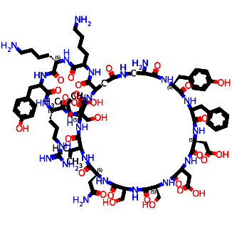 CC(C)C[C@@H]1NC(=O)C(C(C)C)NC(=O)[C@H](CC(N)=O)NC(=O)C(CO)NC(=O)[C@H](CO)NC(=O)C(CC(=O)O)NC(=O)[C@H](CC(=O)O)NC(=O)C(Cc2ccccc2)NC(=O)[C@H](Cc2ccc(O)cc2)NC(=O)C(N)CNC(=O)CC(C(=O)NC(CCCCN)C(=O)N[C@@H](CCCCN)C(=O)NC(Cc2ccc(O)cc2)C(=O)N[C@@H](CCCNC(=N)N)C(=O)NC(CO)C(=O)O)NC1=O